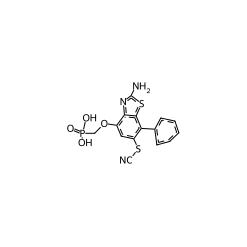 N#CSc1cc(OCP(=O)(O)O)c2nc(N)sc2c1-c1ccccc1